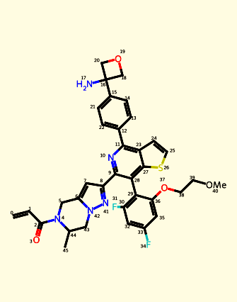 C=CC(=O)N1Cc2cc(-c3nc(-c4ccc(C5(N)COC5)cc4)c4ccsc4c3-c3c(F)cc(F)cc3OCCOC)nn2CC1C